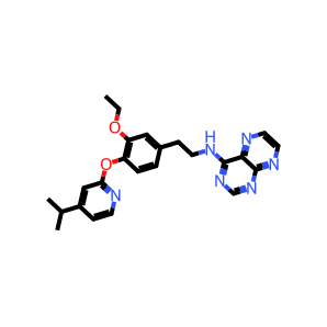 CCOc1cc(CCNc2ncnc3nccnc23)ccc1Oc1cc(C(C)C)ccn1